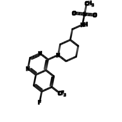 CS(=O)(=O)NCC1CCCN(c2ncnc3cc(F)c(C(F)(F)F)cc23)C1